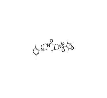 Cc1ccc(C)c(N2CCN(C(=O)[C@@H]3CN(S(=O)(=O)c4c(C)noc4C)C[C@H]3C)CC2)c1